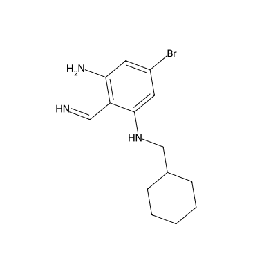 N=Cc1c(N)cc(Br)cc1NCC1CCCCC1